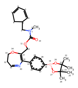 CN(CC1C=CC=CC1)C(=O)OCC1=C(c2ccc(B3OC(C)(C)C(C)(C)O3)cc2)N=CCCO1